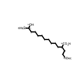 CCCCCCCCCCCCC(CCCCCCCCCC(O)CCCCCC)C(=O)O